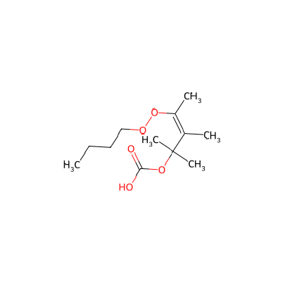 CCCCOOC(C)=C(C)C(C)(C)OC(=O)O